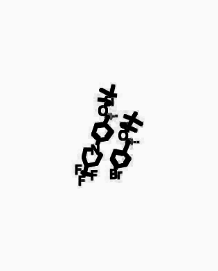 C[C@@H](O[Si](C)(C)C(C)(C)C)c1ccc(Br)cc1.C[C@@H](O[Si](C)(C)C(C)(C)C)c1ccc(N2CCC(C(F)(F)F)CC2)cc1